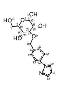 OC[C@H]1O[C@H](O)[C@H](O)[C@@H](OCc2ccc(-n3cccn3)cc2)[C@@H]1O